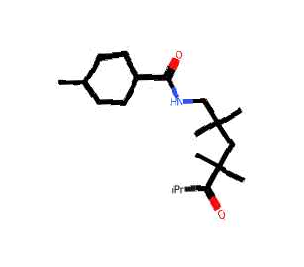 CC1CCC(C(=O)NCC(C)(C)CC(C)(C)C(=O)C(C)C)CC1